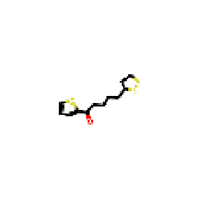 O=C(CCCCC1CCSS1)c1cccs1